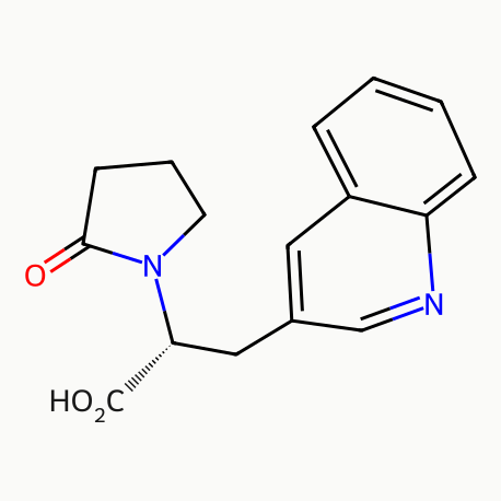 O=C(O)[C@@H](Cc1cnc2ccccc2c1)N1CCCC1=O